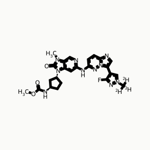 [2H]C([2H])([2H])n1cc(-c2cnc3ccc(Nc4cc5c(cn4)n(C)c(=O)n5[C@@H]4CC[C@@H](NC(=O)OC)C4)nn23)c(F)n1